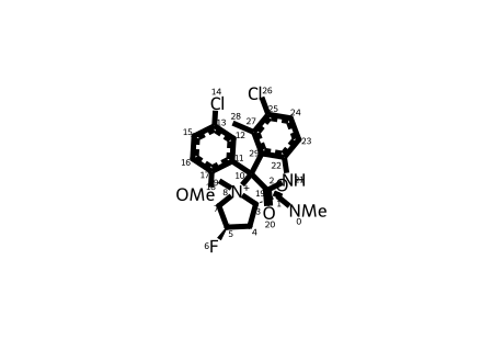 CNC(=O)[C@@H]1C[C@@H](F)C[N+]1(C)C1(c2cc(Cl)ccc2OC)C(=O)Nc2ccc(Cl)c(C)c21